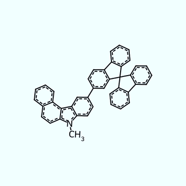 Cn1c2ccc(-c3ccc4c(c3)C3(c5ccccc5-c5ccccc53)c3ccccc3-4)cc2c2c3ccccc3ccc21